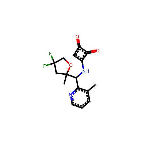 Cc1cccnc1C(Nc1cc(=O)c1=O)C1(C)CC(F)(F)CO1